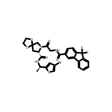 C[C@@H](NC(=O)[C@@H]1CC2(CN1C(=O)CNC(=O)c1ccc3c(c1)-c1ccccc1C3(F)F)OCCO2)c1cc(Br)cs1